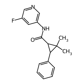 CC1(C)C(C(=O)Nc2cncc(F)c2)C1c1ccccc1